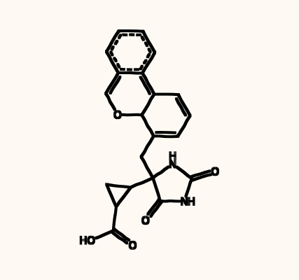 O=C1NC(=O)C(CC2=CC=CC3=c4ccccc4=COC23)(C2CC2C(=O)O)N1